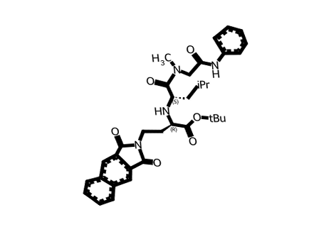 CC(C)C[C@H](N[C@H](CCN1C(=O)c2cc3ccccc3cc2C1=O)C(=O)OC(C)(C)C)C(=O)N(C)CC(=O)Nc1ccccc1